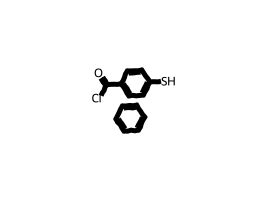 O=C(Cl)c1ccc(S)cc1.c1ccccc1